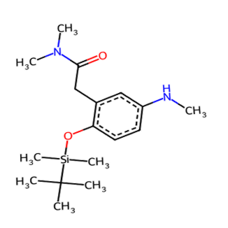 CNc1ccc(O[Si](C)(C)C(C)(C)C)c(CC(=O)N(C)C)c1